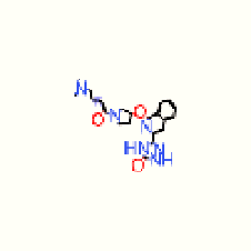 CN(C)C/C=C/C(=O)N1CCC(Oc2nc(-c3n[nH]c(=O)[nH]3)cc3ccccc23)C1